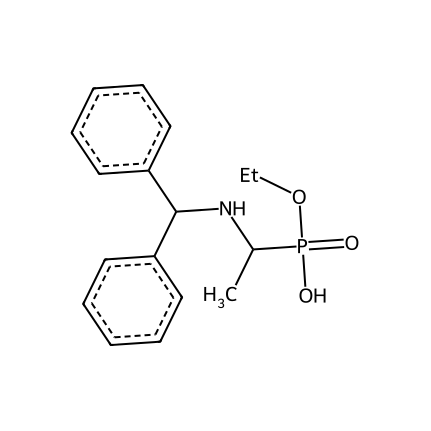 CCOP(=O)(O)C(C)NC(c1ccccc1)c1ccccc1